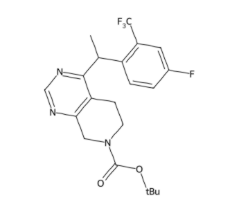 CC(c1ccc(F)cc1C(F)(F)F)c1ncnc2c1CCN(C(=O)OC(C)(C)C)C2